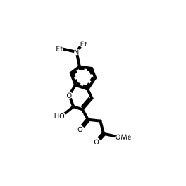 CCN(CC)c1ccc2c(c1)OC(O)C(C(=O)CC(=O)OC)=C2